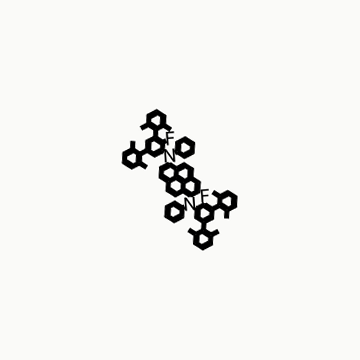 Cc1cccc(C)c1-c1cc(-c2c(C)cccc2C)c(F)c(N(c2ccccc2)c2ccc3ccc4c(N(c5ccccc5)c5cc(-c6c(C)cccc6C)cc(-c6c(C)cccc6C)c5F)ccc5ccc2c3c54)c1